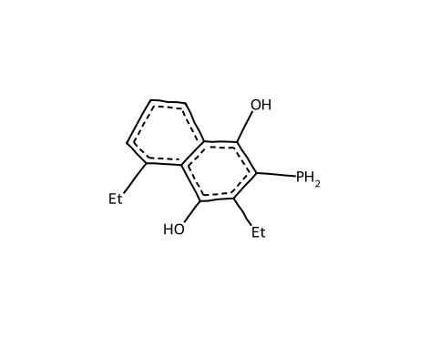 CCc1c(P)c(O)c2cccc(CC)c2c1O